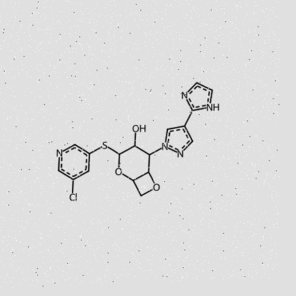 OC1C(Sc2cncc(Cl)c2)OC2COC2C1n1cc(-c2ncc[nH]2)cn1